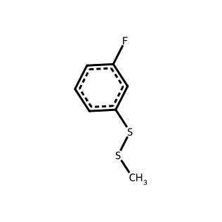 CSSc1cccc(F)c1